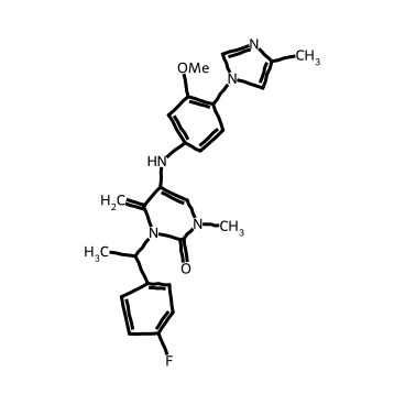 C=C1C(Nc2ccc(-n3cnc(C)c3)c(OC)c2)=CN(C)C(=O)N1C(C)c1ccc(F)cc1